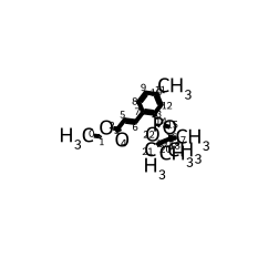 CCOC(=O)/C=C/c1ccc(C)cc1P1OC(C)(C)C(C)(C)O1